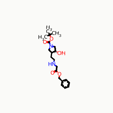 CC(C)(C)OC(=O)N1CC(CCNCC(=O)OCc2ccccc2)[C@@H](O)C1